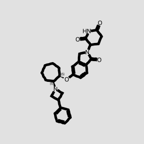 O=C1CCC(N2Cc3cc(O[C@H]4CCCCC[C@@H]4N4CC(c5ccccc5)C4)ccc3C2=O)C(=O)N1